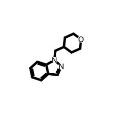 c1ccc2c(c1)cnn2CC1CCOCC1